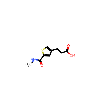 CNC(=O)c1cc(CCC(=O)O)cs1